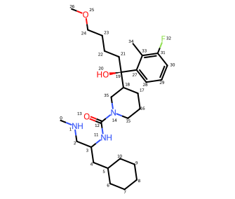 CNCC(CC1CCCCC1)NC(=O)N1CCCC([C@](O)(CCCCOC)c2cccc(F)c2C)C1